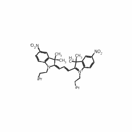 CC(C)CCN1/C(=C/C=C/C2=[N+](CCC(C)C)c3ccc([N+](=O)[O-])cc3C2(C)C)C(C)(C)c2cc([N+](=O)[O-])ccc21